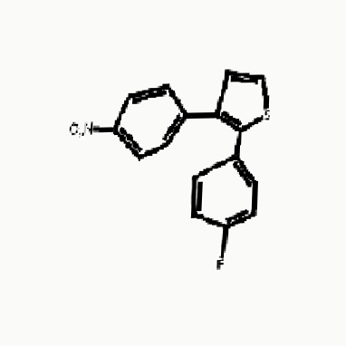 O=[N+]([O-])c1ccc(-c2ccsc2-c2ccc(F)cc2)cc1